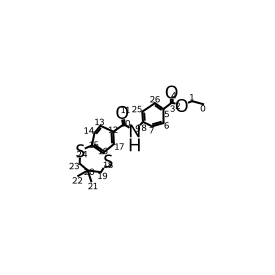 CCOC(=O)c1ccc(NC(=O)c2ccc3c(c2)SCC(C)(C)CS3)cc1